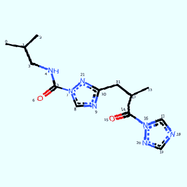 CC(C)CNC(=O)n1cnc(CC(C)C(=O)n2cncn2)n1